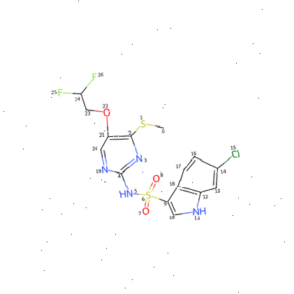 CSc1nc(NS(=O)(=O)c2c[nH]c3cc(Cl)ccc23)ncc1OCC(F)F